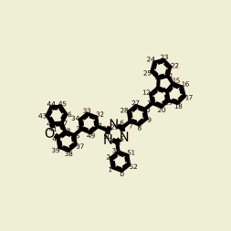 c1ccc(-c2nc(-c3ccc(-c4cc5c6c(cccc6c4)-c4ccccc4-5)cc3)nc(-c3cccc(-c4cccc5oc6ccccc6c45)c3)n2)cc1